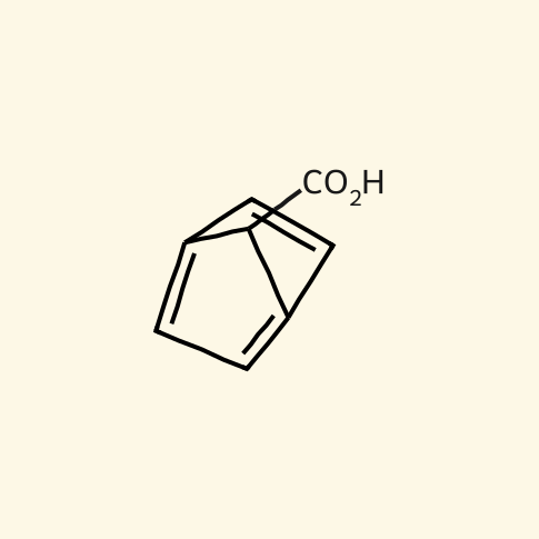 O=C(O)C1C2=CC=C1C=C2